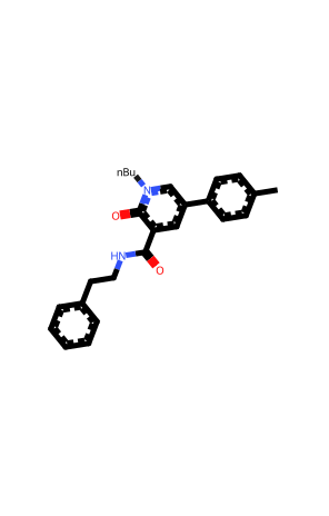 CCCCn1cc(-c2ccc(C)cc2)cc(C(=O)NCCc2ccccc2)c1=O